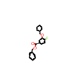 O=C(OCc1ccccc1)c1ccc(F)c(OCc2ccccc2)c1